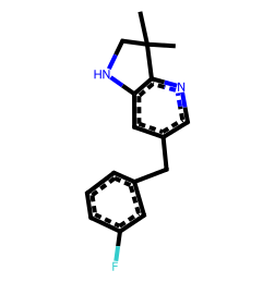 CC1(C)CNc2cc(Cc3cccc(F)c3)cnc21